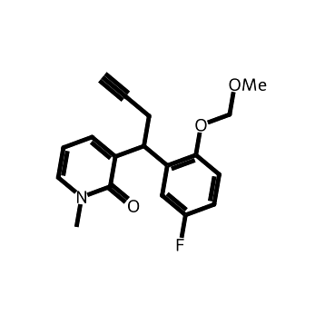 C#CCC(c1cc(F)ccc1OCOC)c1cccn(C)c1=O